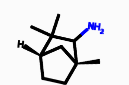 CC1(C)C(N)[C@]2(C)CC[C@H]1C2